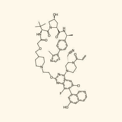 C=CC(=O)N1CCN(c2nc(OCCN3CCC(COCC(=O)N[C@H](C(=O)N4C[C@@H](O)C[C@H]4C(=O)N[C@@H](C)c4ccc(-c5scnc5C)cc4)C(C)(C)C)CC3)nc3c(F)c(-c4cc(O)cc5ccccc45)c(Cl)cc23)C[C@@H]1CC#N